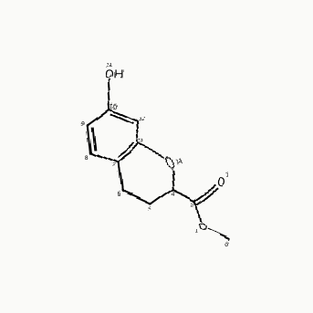 COC(=O)C1CCc2ccc(O)cc2O1